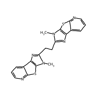 Cn1c(CCc2nc3c4cccnc4sc3n2C)nc2c3cccnc3sc21